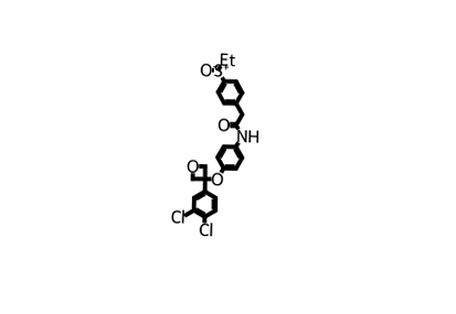 CC[S+]([O-])c1ccc(CC(=O)Nc2ccc(OC3(c4ccc(Cl)c(Cl)c4)COC3)cc2)cc1